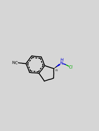 N#Cc1ccc2c(c1)CC[C@@H]2NCl